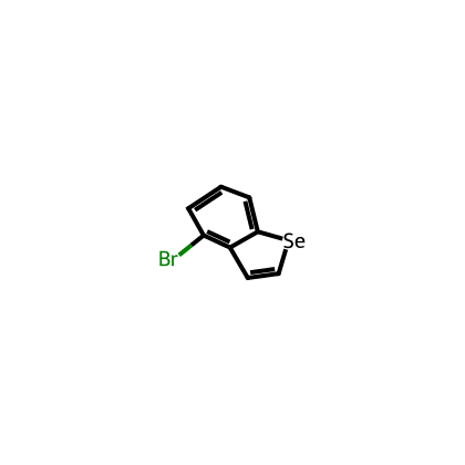 Brc1cccc2[se]ccc12